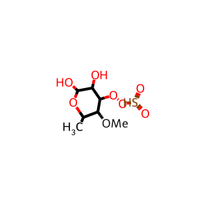 COC1C(C)OC(O)C(O)C1OO[SH](=O)=O